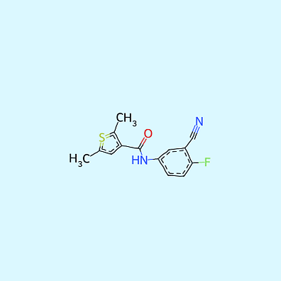 Cc1cc(C(=O)Nc2ccc(F)c(C#N)c2)c(C)s1